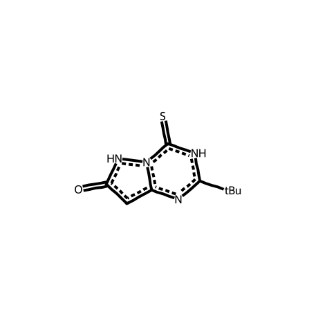 CC(C)(C)c1nc2cc(=O)[nH]n2c(=S)[nH]1